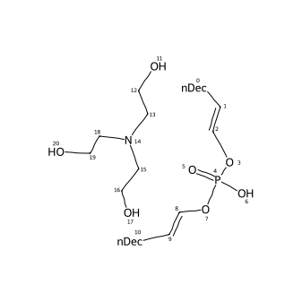 CCCCCCCCCCC=COP(=O)(O)OC=CCCCCCCCCCC.OCCN(CCO)CCO